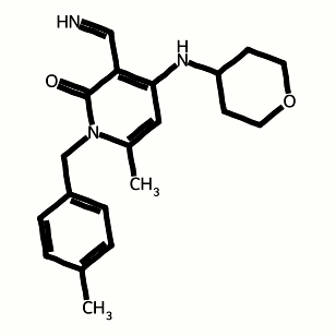 Cc1ccc(Cn2c(C)cc(NC3CCOCC3)c(C=N)c2=O)cc1